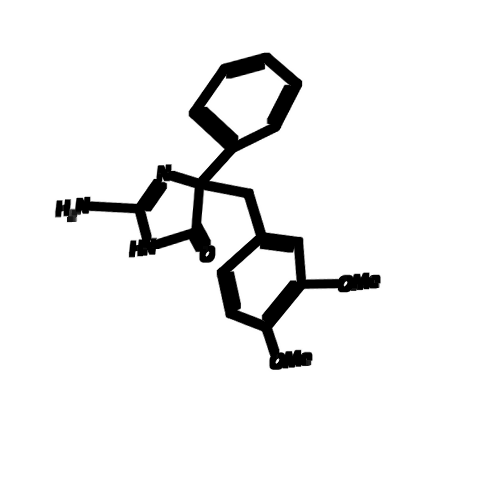 COc1ccc(CC2(c3ccccc3)N=C(N)NC2=O)cc1OC